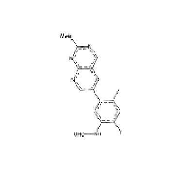 CNc1ncc2cc(-c3cc(NC=O)c(F)cc3C)cnc2n1